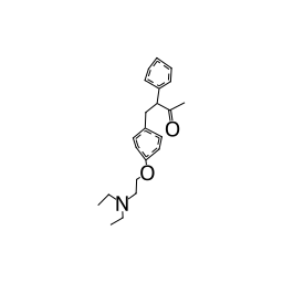 CCN(CC)CCOc1ccc(CC(C(C)=O)c2ccccc2)cc1